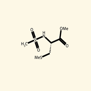 COC(=O)[C@H](CSC)NS(C)(=O)=O